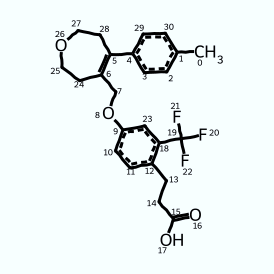 Cc1ccc(C2=C(COc3ccc(CCC(=O)O)c(C(F)(F)F)c3)CCOCC2)cc1